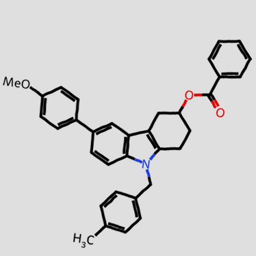 COc1ccc(-c2ccc3c(c2)c2c(n3Cc3ccc(C)cc3)CCC(OC(=O)c3ccccc3)C2)cc1